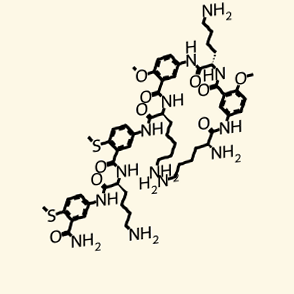 COc1ccc(NC(=O)[C@@H](N)CCCCN)cc1C(=O)N[C@@H](CCCCN)C(=O)Nc1ccc(OC)c(C(=O)N[C@@H](CCCCCN)C(=O)Nc2ccc(SC)c(C(=O)N[C@@H](CCCCN)C(=O)Nc3ccc(SC)c(C(N)=O)c3)c2)c1